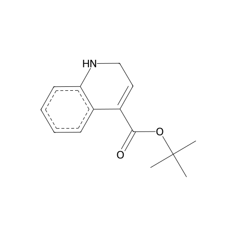 CC(C)(C)OC(=O)C1=CCNc2ccccc21